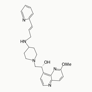 COc1ccc2nccc([C@@H](O)CN3CCC(NC/C=C/c4ccccn4)CC3)c2n1